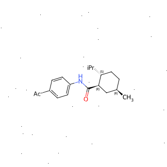 CC(=O)c1ccc(NC(=O)[C@@H]2C[C@H](C)CC[C@H]2C(C)C)cc1